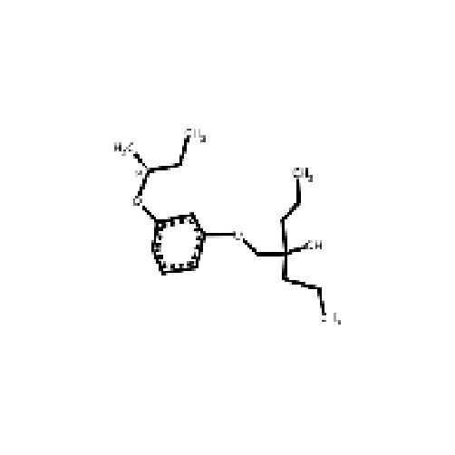 CCCC(O)(CCC)COc1cccc(O[C@@H](C)CC)c1